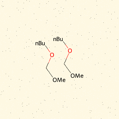 CCCCOCOC.CCCCOCOC